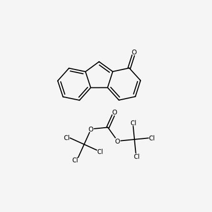 O=C(OC(Cl)(Cl)Cl)OC(Cl)(Cl)Cl.O=C1C=CC=C2C1=Cc1ccccc12